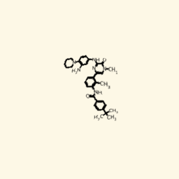 Cc1c(NC(=O)c2ccc(C(C)(C)C)cc2)cccc1-c1cn(C)c(=O)c(Nc2ccc(N3CCCCC3)c(N)c2)n1